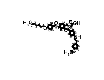 CCCCCCCOc1ccc(C(=O)Oc2ccc(CN(CC(=O)O)C(=O)c3ccc(NCCc4ccc(OC)cc4)cc3)cc2)cc1